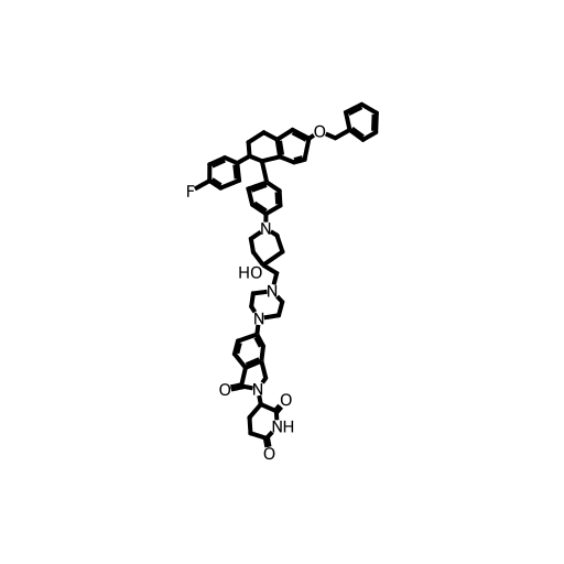 O=C1CCC(N2Cc3cc(N4CCN(CC5(O)CCN(c6ccc(C7c8ccc(OCc9ccccc9)cc8CCC7c7ccc(F)cc7)cc6)CC5)CC4)ccc3C2=O)C(=O)N1